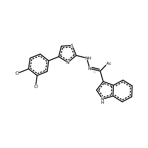 CC(=O)/C(=N\Nc1nc(-c2ccc(Cl)c(Cl)c2)cs1)c1c[nH]c2ccccc12